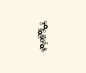 CNc1nc(Nc2ccc(C)c([N+](=O)[O-])c2)ncc1C(=O)Nc1cc(NC(=O)c2cccc(C(Cl)Cl)c2)ccc1C